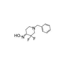 O/N=C1\CCN(Cc2ccccc2)CC1(F)F